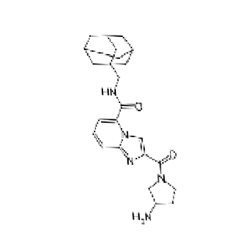 NC1CCN(C(=O)c2cn3c(C(=O)NCC45CC6CC(CC(C6)C4)C5)cccc3n2)C1